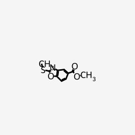 COC(=O)c1ccc2oc(SC)nc2c1